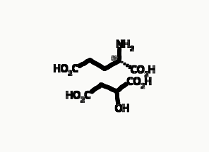 N[C@@H](CCC(=O)O)C(=O)O.O=C(O)CC(O)C(=O)O